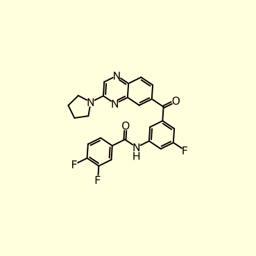 O=C(Nc1cc(F)cc(C(=O)c2ccc3ncc(N4CCCC4)nc3c2)c1)c1ccc(F)c(F)c1